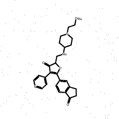 COCCN1CCC(NCC2OC(c3ccc4c(c3)CCC4=O)=C(c3ccncc3)C2=O)CC1